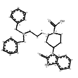 O=C(O)N1CCC(n2c(=O)[nH]c3ccccc32)C[C@@H]1CCCN(Cc1ccccc1)Cc1ccccc1